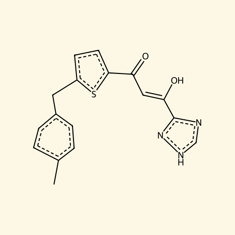 Cc1ccc(Cc2ccc(C(=O)C=C(O)c3nc[nH]n3)s2)cc1